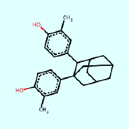 Cc1cc(C2C3CC4CC(C3)CC2(c2ccc(O)c(C)c2)C4)ccc1O